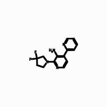 Nc1c(-c2ccccn2)ccnc1N1CCC(F)(F)C1